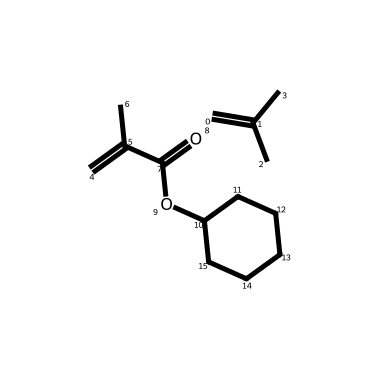 C=C(C)C.C=C(C)C(=O)OC1CCCCC1